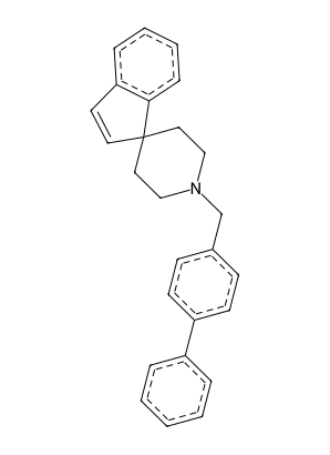 C1=CC2(CCN(Cc3ccc(-c4ccccc4)cc3)CC2)c2ccccc21